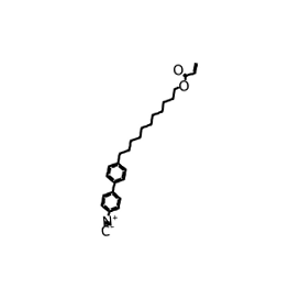 [C-]#[N+]c1ccc(-c2ccc(CCCCCCCCCCCOC(=O)C=C)cc2)cc1